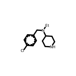 CCN(Cc1ccc(Cl)cc1)C1CCNCC1